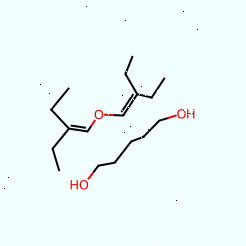 CCC(=COC=C(CC)CC)CC.OCCCCCO